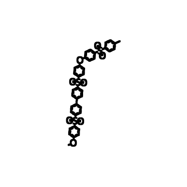 COc1ccc(S(=O)(=O)c2ccc(-c3ccc(S(=O)(=O)c4ccc(Oc5ccc(S(=O)(=O)c6ccc(C)cc6)cc5)cc4)cc3)cc2)cc1